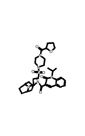 CC(C)n1c(=O)c(C(=O)NC2CC3CCC(C2)N3CCCS(=O)(=O)N2CCN(C(=O)C3CCCO3)CC2)cc2ccccc21